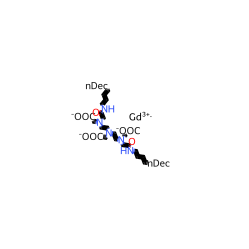 CCCCCCCCCCCCCCNC(=O)CN(CCN(CCN(CC(=O)[O-])CC(=O)NCCCCCCCCCCCCCC)CC(=O)[O-])CC(=O)[O-].[Gd+3]